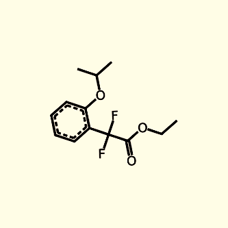 CCOC(=O)C(F)(F)c1ccccc1OC(C)C